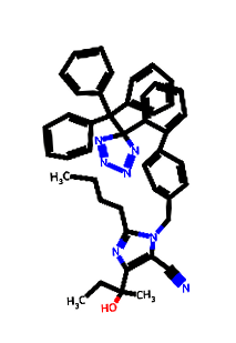 CCCCc1nc(C(C)(O)CC)c(C#N)n1Cc1ccc(-c2ccccc2C2(C(c3ccccc3)(c3ccccc3)c3ccccc3)N=NN=N2)cc1